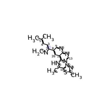 C=N/C(=C\C=C(C)C)c1cnc2ncnc(NC(C)c3nnc(C)s3)c2c1